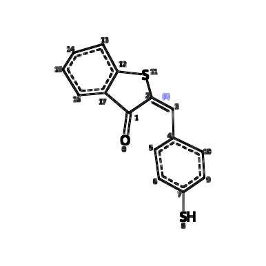 O=C1/C(=C\c2ccc(S)cc2)Sc2ccccc21